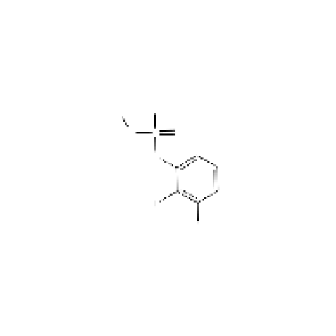 CCOP(=O)(F)Oc1cccc(F)c1F